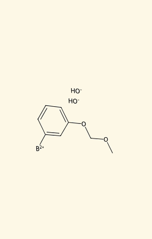 [B+2]c1cccc(OCOC)c1.[OH-].[OH-]